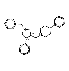 c1ccc(CN2C[C@@H](CN3CCC(c4ccccc4)CC3)[C@H](c3ccccc3)C2)cc1